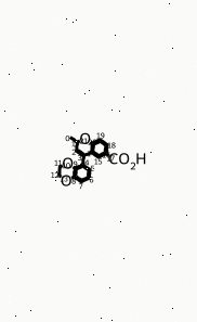 CC1C=C(c2cccc3c2OCCO3)c2cc(C(=O)O)ccc2O1